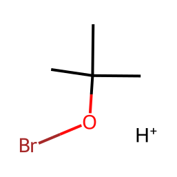 CC(C)(C)OBr.[H+]